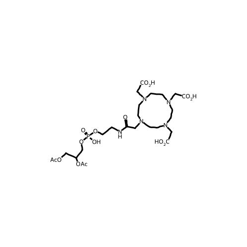 CC(=O)OCC(COP(=O)(O)OCCNC(=O)CN1CCN(CC(=O)O)CCN(CC(=O)O)CCN(CC(=O)O)CC1)OC(C)=O